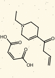 C=CCC(=O)C1=CCN(CC)CC1.O=C(O)/C=C\C(=O)O